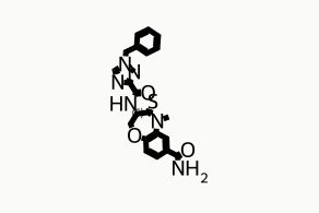 CN1C(=S)[C@@H](NC(=O)c2ncn(Cc3ccccc3)n2)COc2ccc(C(N)=O)cc21